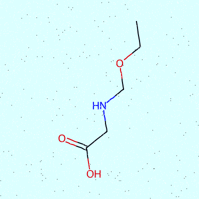 CCOCNCC(=O)O